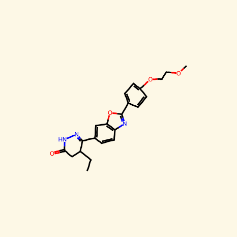 CCC1CC(=O)NN=C1c1ccc2nc(-c3ccc(OCCOC)cc3)oc2c1